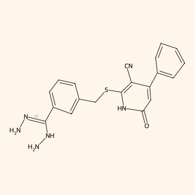 N#Cc1c(-c2ccccc2)cc(=O)[nH]c1SCc1cccc(/C(=N/N)NN)c1